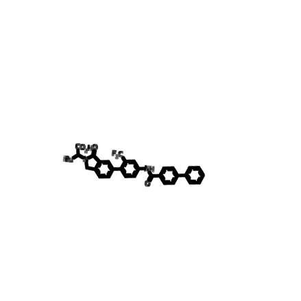 CCC(C)C(C(=O)O)N1Cc2ccc(-c3ccc(NC(=O)c4ccc(-c5ccccc5)cc4)cc3C(F)(F)F)cc2C1=O